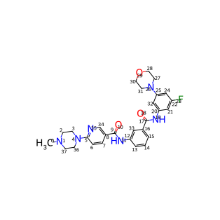 CN1CCN(c2ccc(C(=O)Nc3cccc(C(=O)Nc4cc(F)cc(N5CCOCC5)c4)c3)cn2)CC1